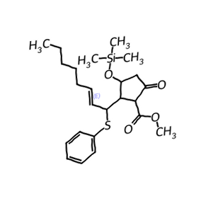 CCCCC/C=C/C(Sc1ccccc1)C1C(O[Si](C)(C)C)CC(=O)C1C(=O)OC